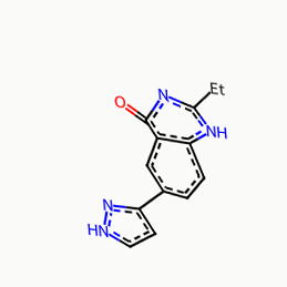 CCc1nc(=O)c2cc(-c3cc[nH]n3)ccc2[nH]1